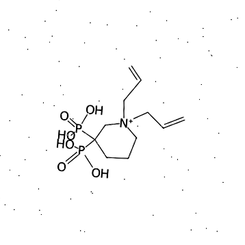 C=CC[N+]1(CC=C)CCCC(P(=O)(O)O)(P(=O)(O)O)C1